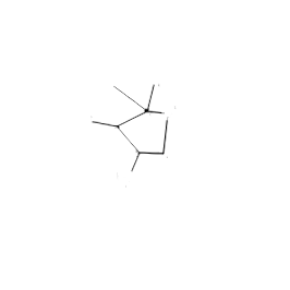 CC1C(O)COC1(C)C